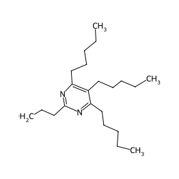 [CH2]CCc1nc(CCCCC)c(CCCCC)c(CCCCC)n1